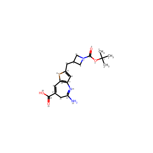 CC(C)(C)OC(=O)N1CC(Cc2cc3c(s2)C=C(C(=O)O)CC(N)=N3)C1